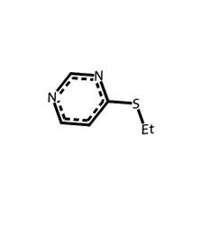 CCSc1ccncn1